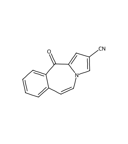 N#Cc1cc2c(=O)c3ccccc3ccn2c1